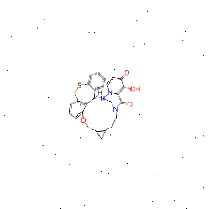 O=C1c2c(O)c(=O)ccn2N2CN1CCC1CC1COc1cccc3c1[C@@H]2c1ccccc1SC3